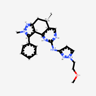 COCCn1ccc(Nc2ncc3c(n2)-c2c(nn(C)c2-c2ccccc2)C[C@@H]3C)n1